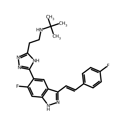 CC(C)(C)NCCc1nnc(-c2cc3c(/C=C/c4ccc(F)cc4)n[nH]c3cc2F)[nH]1